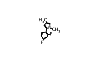 Cc1cc(-c2ccc(F)cc2F)n(C)c1